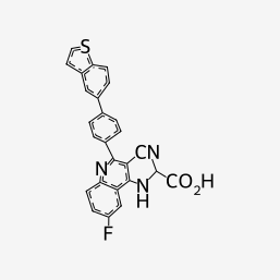 CC(Nc1c(C#N)c(-c2ccc(-c3ccc4sccc4c3)cc2)nc2ccc(F)cc12)C(=O)O